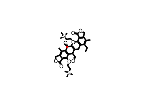 CCc1c(C)c2c(c(OCC[Si](C)(C)C)c1CC(=C(C)C=O)C(C=O)c1c(CC)c(C)c3c(c1OCC[Si](C)(C)C)C(=O)OC3)C(=O)OC2